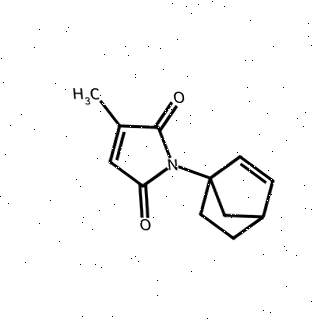 CC1=CC(=O)N(C23C=CC(CC2)C3)C1=O